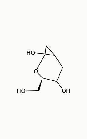 OC[C@H]1OC2(O)CC2CC1O